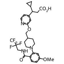 COc1ccc(C(=O)NCC(F)(F)C(F)(F)F)c(N2CCC(COc3cc(C(CC(=O)O)C4CC4)ccn3)CC2)c1